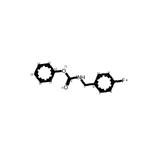 O=C(NCc1ccc(F)cc1)Oc1ccccc1